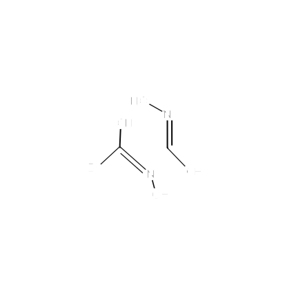 C/C=N/O.CC/C(C)=N\O